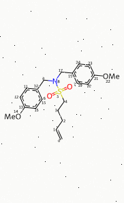 C=CCCCS(=O)(=O)N(Cc1ccc(OC)cc1)Cc1ccc(OC)cc1